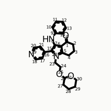 O=C1CCCc2c1c(Nc1ccccc1)c(-c1ccncc1)n2CCOC1CCCCO1